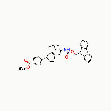 CC(C)(C)OC(=O)c1ccc(-c2ccc(CC(NC(=O)OCC3c4ccccc4-c4ccccc43)C(=O)O)cc2)cc1